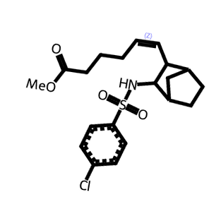 COC(=O)CCC/C=C\C1C2CCC(C2)C1NS(=O)(=O)c1ccc(Cl)cc1